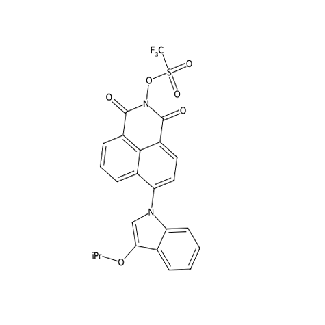 CC(C)Oc1cn(-c2ccc3c4c(cccc24)C(=O)N(OS(=O)(=O)C(F)(F)F)C3=O)c2ccccc12